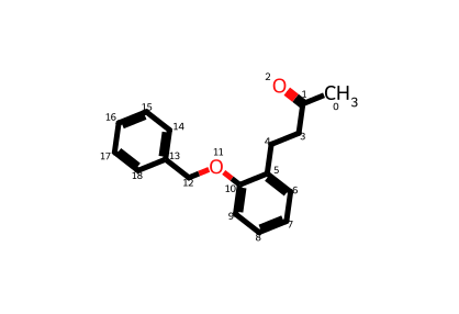 CC(=O)CCc1ccccc1OCc1ccccc1